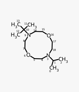 CC(C)N1CCOCCN(C(C)(C)C)CCOCC1